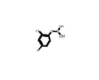 OB(O)Oc1ccc(Cl)cc1Cl